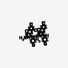 Nc1ncc(Sc2c(Cl)cc(Cl)cc2Cl)c(NC2CCC(=O)CC2)n1.Nc1ncc(Sc2ccc(Cl)cc2Cl)c(NC2CCC(=O)CC2)n1